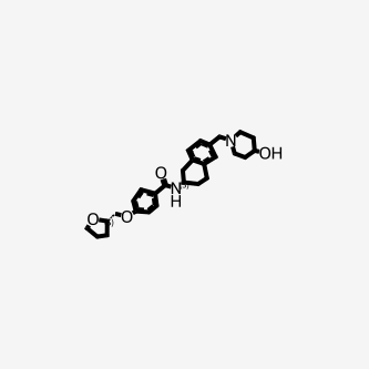 O=C(N[C@H]1CCc2cc(CN3CCC(O)CC3)ccc2C1)c1ccc(OC[C@@H]2CCCO2)cc1